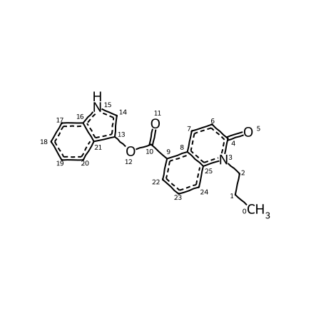 CCCn1c(=O)ccc2c(C(=O)Oc3c[nH]c4ccccc34)cccc21